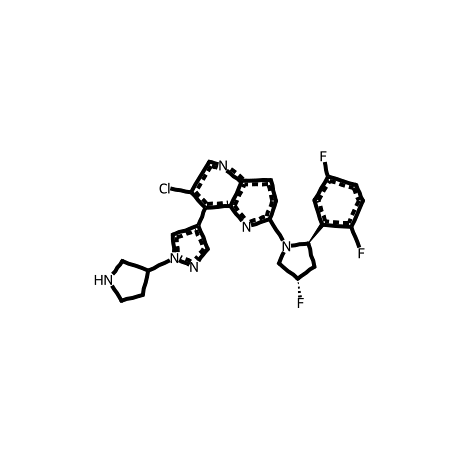 Fc1ccc(F)c([C@H]2C[C@H](F)CN2c2ccc3ncc(Cl)c(-c4cnn(C5CCNC5)c4)c3n2)c1